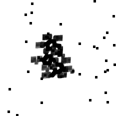 NCC1O[C@H](O[C@@H]2C(N)C[C@@H](N)C(O[C@H]3OC(CO)[C@@H](O)C(N)[C@H]3O)[C@H]2O)C(O)[C@@H](O)[C@@H]1O